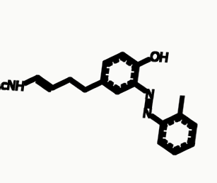 CC(=O)NC=CCCc1ccc(O)c(N=Nc2ccccc2C)c1